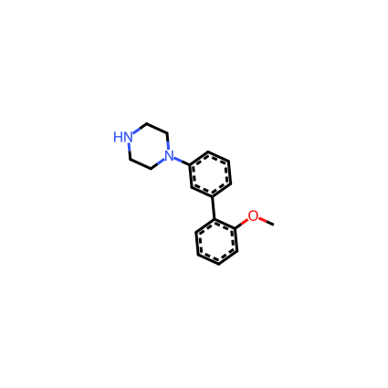 COc1ccccc1-c1cccc(N2CCNCC2)c1